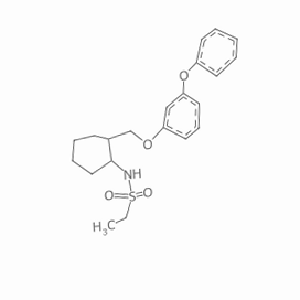 CCS(=O)(=O)NC1CCCCC1COc1cccc(Oc2ccccc2)c1